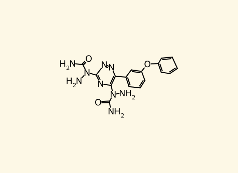 NC(=O)N(N)c1nnc(-c2cccc(Oc3ccccc3)c2)c(N(N)C(N)=O)n1